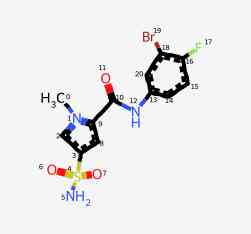 Cn1cc(S(N)(=O)=O)cc1C(=O)Nc1ccc(F)c(Br)c1